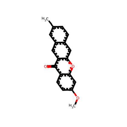 COc1ccc2c(=O)c3cc4cc(C)ccc4cc3oc2c1